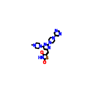 CN1CCN(c2cc(C=C3SC(=O)NC3=O)nc(N3CCN(c4cncnc4)CC3)n2)CC1